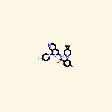 O=C(Nc1cc2ccncc2c(N2CCC(F)(F)CC2)n1)c1ccc(I)cc1N1CCC2(CC1)CC2